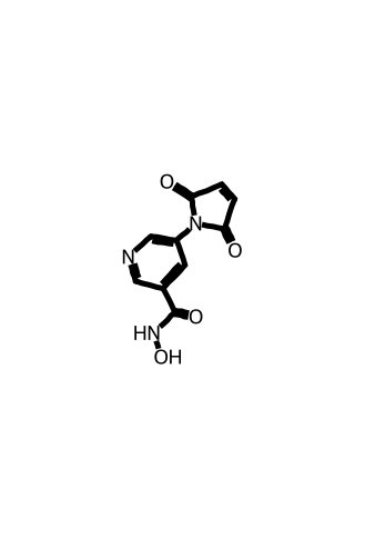 O=C(NO)c1cncc(N2C(=O)C=CC2=O)c1